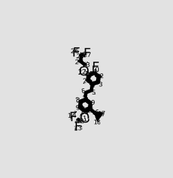 Fc1ccc(CCc2ccc(OC(F)F)c(C3CC3)c2)cc1OCCC(F)F